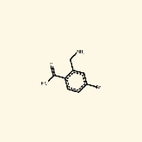 NCc1cc(Br)ccc1C(=O)O